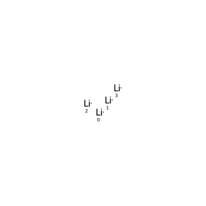 [Li].[Li].[Li].[Li]